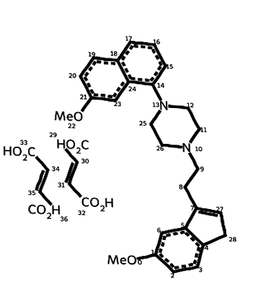 COc1ccc2c(c1)C(CCN1CCN(c3cccc4ccc(OC)cc34)CC1)=CC2.O=C(O)C=CC(=O)O.O=C(O)C=CC(=O)O